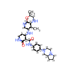 Cc1c(Nc2cc[nH]c(=O)c2C(=O)Nc2ccc(N3CCN4CCCC4C3)cc2)cnc2c1NCC(C)O2